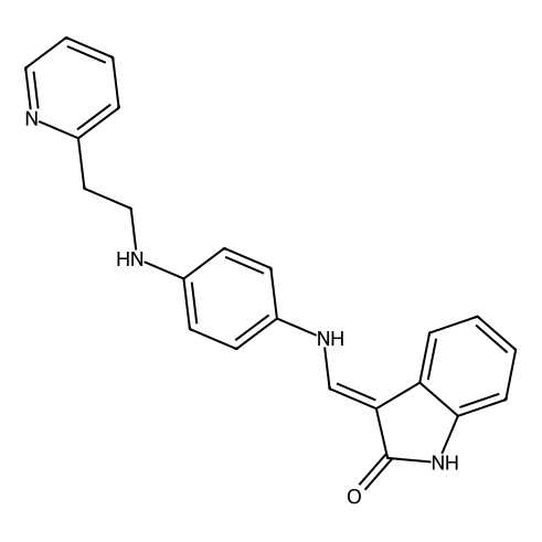 O=C1Nc2ccccc2/C1=C\Nc1ccc(NCCc2ccccn2)cc1